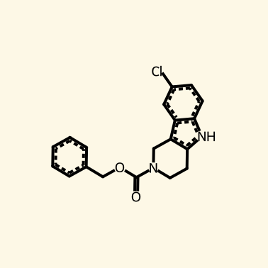 O=C(OCc1ccccc1)N1CCc2[nH]c3ccc(Cl)cc3c2C1